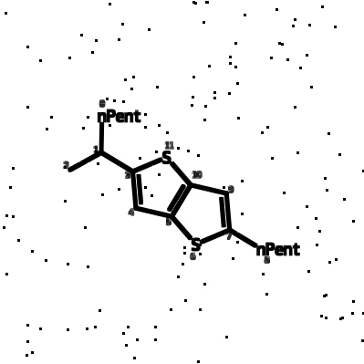 CC[CH]CCC(C)c1cc2sc(CCCCC)cc2s1